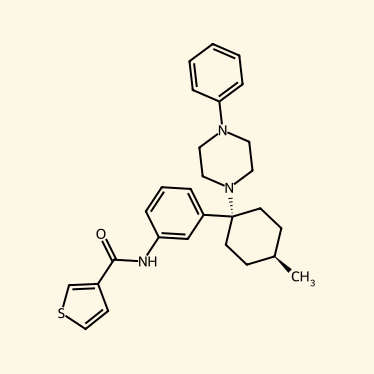 C[C@H]1CC[C@](c2cccc(NC(=O)c3ccsc3)c2)(N2CCN(c3ccccc3)CC2)CC1